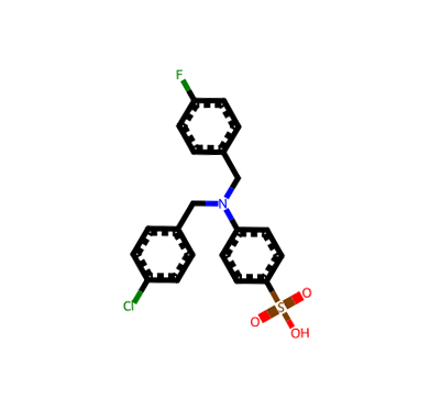 O=S(=O)(O)c1ccc(N(Cc2ccc(F)cc2)Cc2ccc(Cl)cc2)cc1